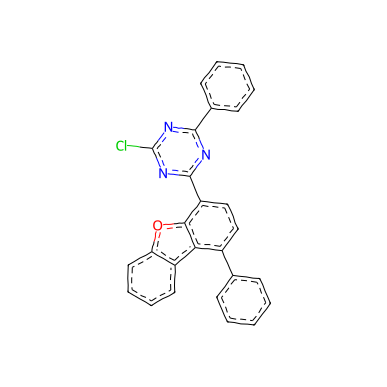 Clc1nc(-c2ccccc2)nc(-c2ccc(-c3ccccc3)c3c2oc2ccccc23)n1